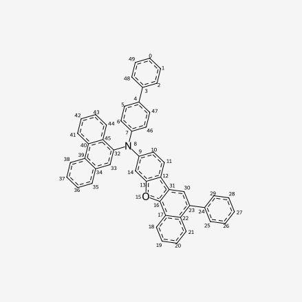 c1ccc(-c2ccc(N(c3ccc4c(c3)oc3c5ccccc5c(-c5ccccc5)cc43)c3cc4ccccc4c4ccccc34)cc2)cc1